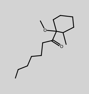 CCCCCCC(=O)C1(OC)CCCCC1C